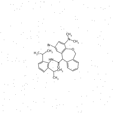 CC(C)c1cccc(C(C)C)c1NC(=O)C1c2ccccc2COc2c1cc(Br)cc2N(C)C